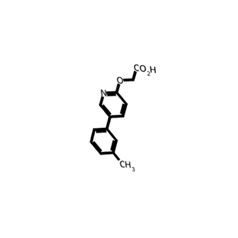 Cc1cccc(-c2ccc(OCC(=O)O)nc2)c1